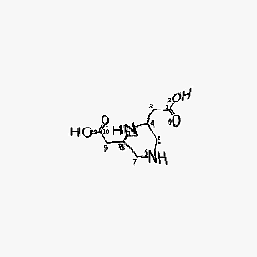 O=C(O)CC1CNCC(CC(=O)O)N1